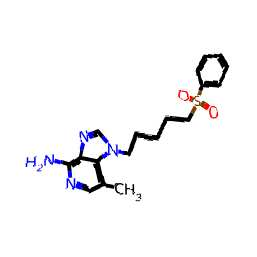 Cc1cnc(N)c2ncn(CCCCCS(=O)(=O)c3ccccc3)c12